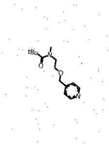 CN(CCOCc1ccncc1)C(=O)C(C)(C)C